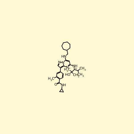 Cc1cc(-c2cnn3c(NCC4CCCCCC4)cc(N[C@@H](C(C)C)C(C)(C)O)nc23)ccc1C(=O)NC1CC1